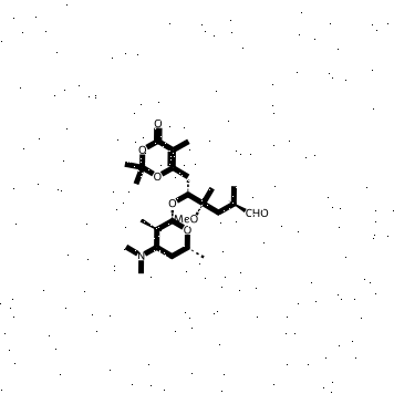 CO[C@](C)(C[C@@H](C)C=O)[C@@H](CC1=C(C)C(=O)OC(C)(C)O1)O[C@@H]1O[C@H](C)CC(N(C)C)[C@H]1C